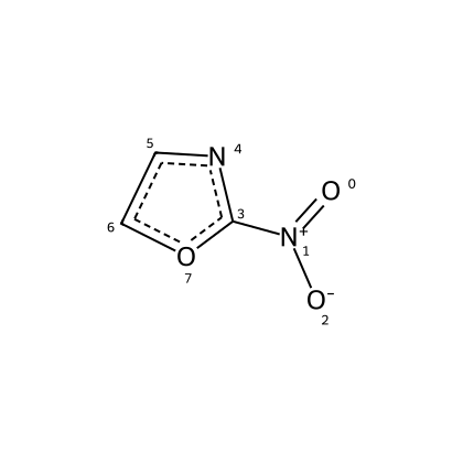 O=[N+]([O-])c1ncco1